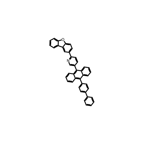 c1ccc(-c2ccc(-c3c4ccccc4c(-c4ccc(-c5ccc6oc7ccccc7c6c5)nc4)c4ccccc34)cc2)cc1